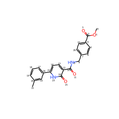 COC(=O)c1ccc(CNC(=O)c2ccc(-c3cccc(C)c3)[nH]c2=O)cc1